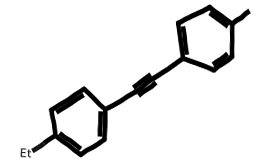 CCc1ccc(C#Cc2ccc(C)cc2)cc1